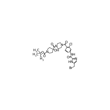 CC(C)(C)OC(=O)N1CCC(O)(C(=O)N2CCN(C(=O)c3ccc(NC(=O)c4ncc(CBr)[nH]4)cc3Cl)CC2)CC1